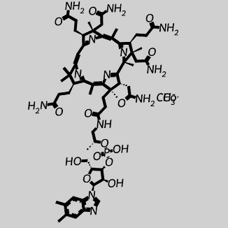 C/C1=C2/N=C([C@H](CC(N)=O)[C@@]2(C)CCC(=O)NC[C@@H](C)OP(=O)(O)O[C@H]2[C@@H](O)[C@@H](n3cnc4cc(C)c(C)cc43)O[C@@H]2CO)[C@]2(C)N=C(/C(C)=C3N=C(/C=C4N=C1[C@@H](CCC(N)=O)C\4(C)C)[C@@H](CCC(N)=O)[C@]\3(C)CC(N)=O)[C@@H](CCC(N)=O)[C@]2(C)CC(N)=O.[CH3-].[Co]